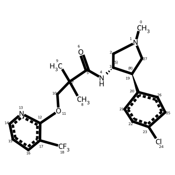 CN1C[C@@H](NC(=O)C(C)(C)COc2ncccc2C(F)(F)F)[C@H](c2ccc(Cl)cc2)C1